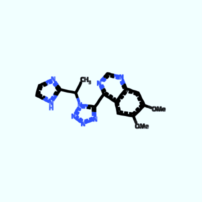 COc1cc2ncnc(-c3nnnn3C(C)c3ncc[nH]3)c2cc1OC